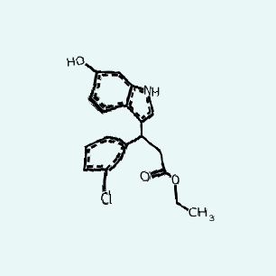 CCOC(=O)CC(c1cccc(Cl)c1)c1c[nH]c2cc(O)ccc12